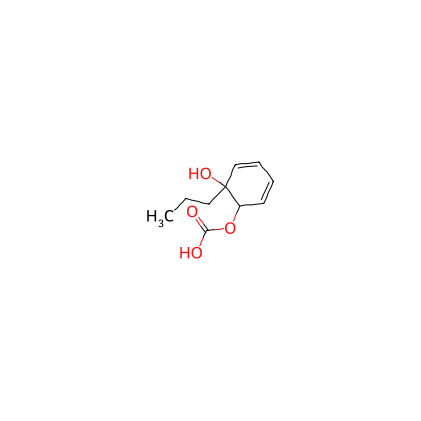 CCCC1(O)C=CC=CC1OC(=O)O